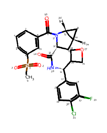 CS(=O)(=O)c1cccc(C(=O)N2[C@@H](C(=O)N[C@@H](c3ccc(Cl)c(F)c3)C3COC3)C[C@H]3C[C@H]32)c1